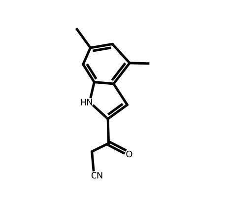 Cc1cc(C)c2cc(C(=O)CC#N)[nH]c2c1